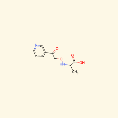 CC(NOCC(=O)c1cccnc1)C(=O)O